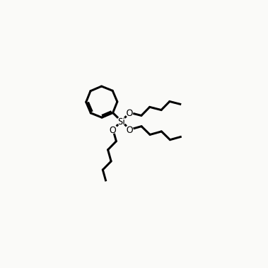 CCCCCO[Si](OCCCCC)(OCCCCC)/C1=C/C=C\CCCC1